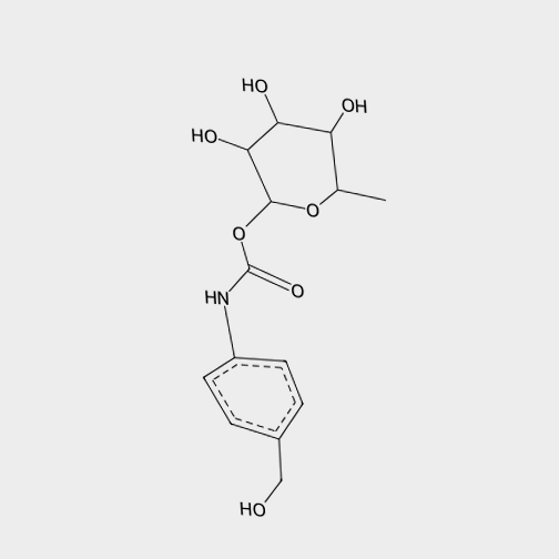 CC1OC(OC(=O)Nc2ccc(CO)cc2)C(O)C(O)C1O